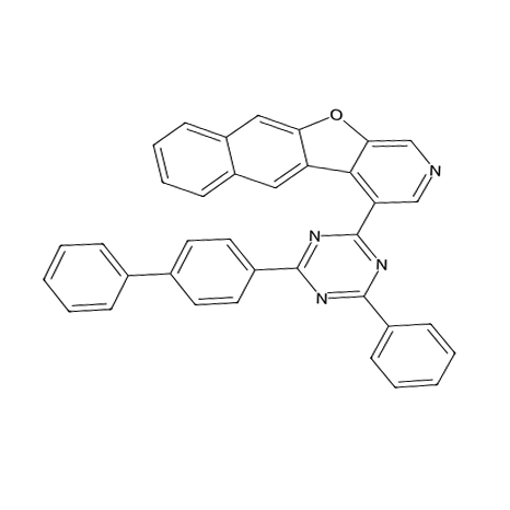 c1ccc(-c2ccc(-c3nc(-c4ccccc4)nc(-c4cncc5oc6cc7ccccc7cc6c45)n3)cc2)cc1